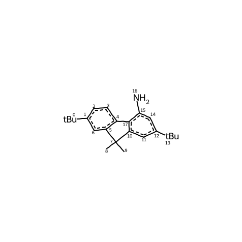 CC(C)(C)c1ccc2c(c1)C(C)(C)c1cc(C(C)(C)C)cc(N)c1-2